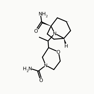 CC(C1CN(C(N)=O)CCO1)N1[C@@H]2C[CH]C[C@@]1(C(N)=O)CC2